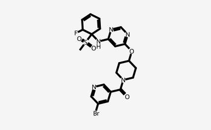 CS(=O)(=O)C1(Nc2cc(OC3CCN(C(=O)c4cncc(Br)c4)CC3)ncn2)C=CC=CC1F